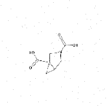 O=C(O)N1CC2CC2(C(=O)O)C1